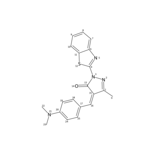 CC1=NN(c2nc3ccccc3s2)C(=O)C1=Cc1ccc(N(C)C)cc1